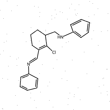 ClC1=C(/C=N/c2ccccc2)CCCC1CNc1ccccc1